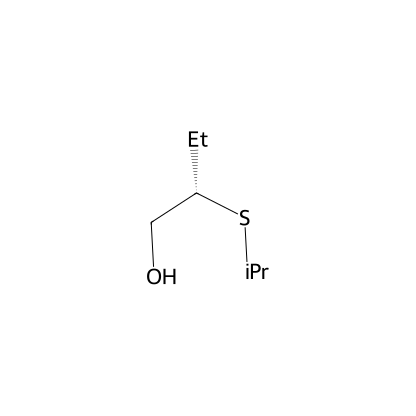 CC[C@@H](CO)SC(C)C